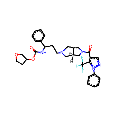 O=C(NC(CCN1CC2CN(C(=O)c3cnn(-c4ccccc4)c3C(F)(F)F)C[C@@H]2C1)c1ccccc1)OC1CCOC1